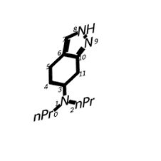 CCCN(CCC)C1CCc2c[nH]nc2C1